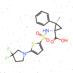 C[C@]1(c2ccccc2)C[C@@]1(NS(=O)(=O)c1ccc(N2CCC(F)(F)C2)s1)C(=O)O